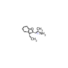 C=Cc1c(/C=C(\C)N)oc2ccccc12